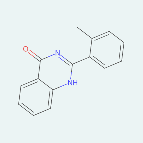 Cc1cc[c]cc1-c1nc(=O)c2ccccc2[nH]1